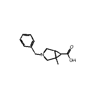 CC12CN(Cc3ccccc3)CC1C2C(=O)O